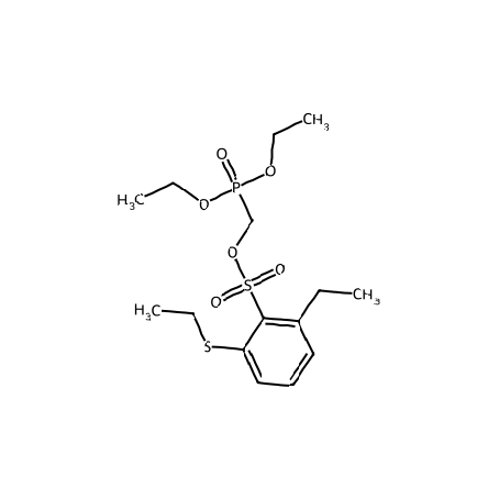 CCOP(=O)(COS(=O)(=O)c1c(CC)cccc1SCC)OCC